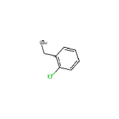 CC(C)(C)Cc1[c]cccc1Cl